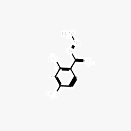 C=C(N=NN)c1c#cc(C)cc1O